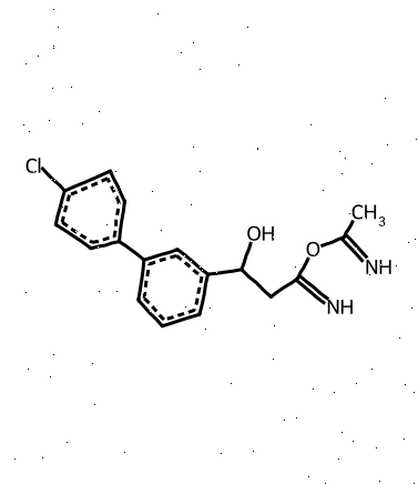 CC(=N)OC(=N)CC(O)c1cccc(-c2ccc(Cl)cc2)c1